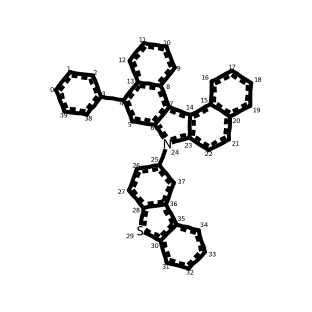 c1ccc(-c2cc3c(c4ccccc24)c2c4ccccc4ccc2n3-c2ccc3sc4ccccc4c3c2)cc1